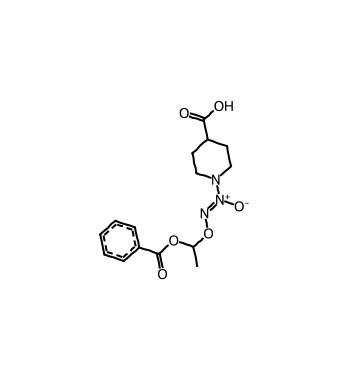 CC(ON=[N+]([O-])N1CCC(C(=O)O)CC1)OC(=O)c1ccccc1